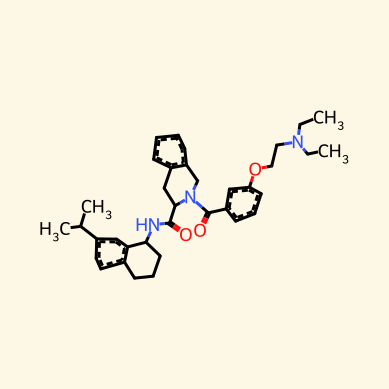 CCN(CC)CCOc1cccc(C(=O)N2Cc3ccccc3CC2C(=O)NC2CCCc3ccc(C(C)C)cc32)c1